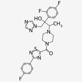 CC(N1CCN(C(=O)c2nc(-c3ccc(F)cc3)ns2)CC1)C(O)(Cn1cncn1)c1ccc(F)cc1F